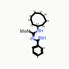 CN/C(=N/C(=N)c1ccccc1)NC1CCCCCCCC1